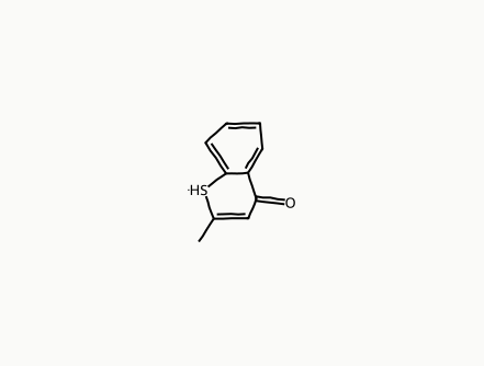 CC1=CC(=O)c2ccccc2[SH]1